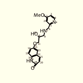 COc1ccnc(CNCC(O)COc2ccc3[nH]c(=O)ccc3c2)c1